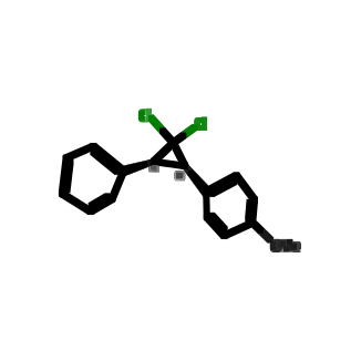 COc1ccc([C@H]2[C@@H](c3ccccc3)C2(Cl)Cl)cc1